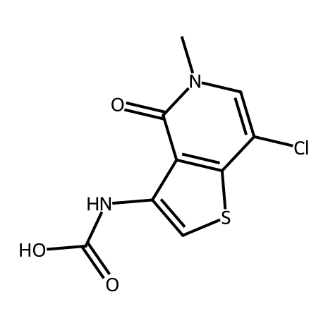 Cn1cc(Cl)c2scc(NC(=O)O)c2c1=O